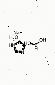 O.OBO.[NaH].c1c[nH]cn1